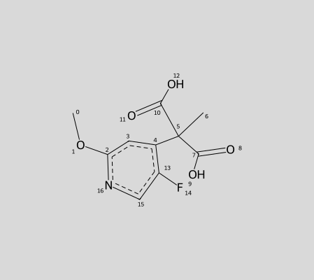 COc1cc(C(C)(C(=O)O)C(=O)O)c(F)cn1